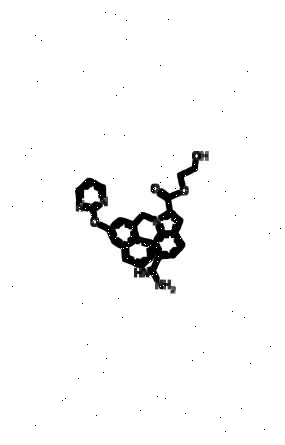 N=C(N)c1ccc2cc(C(=O)OCCO)n(Cc3cc(Oc4ncccn4)cc4ccccc34)c2c1